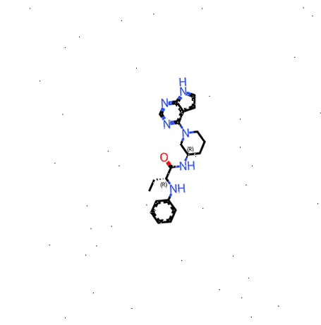 CC[C@@H](Nc1ccccc1)C(=O)N[C@@H]1CCCN(c2ncnc3[nH]ccc23)C1